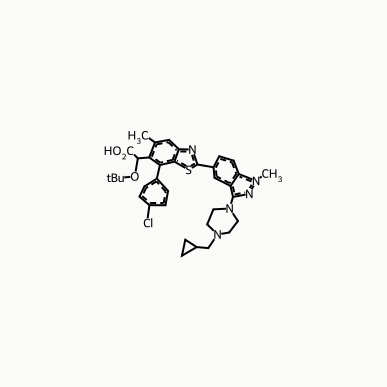 Cc1cc2nc(-c3ccc4c(c3)c(N3CCN(CC5CC5)CC3)nn4C)sc2c(-c2ccc(Cl)cc2)c1C(OC(C)(C)C)C(=O)O